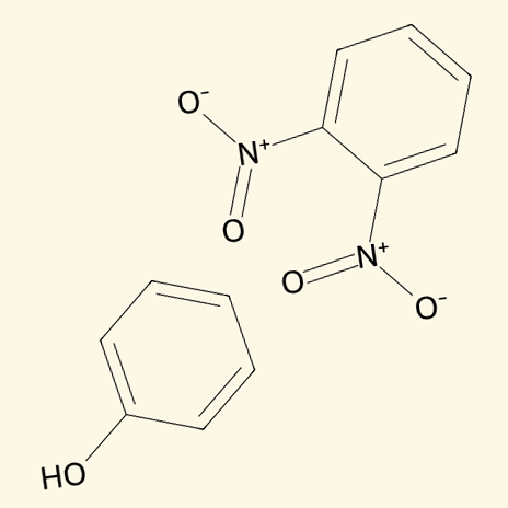 O=[N+]([O-])c1ccccc1[N+](=O)[O-].Oc1ccccc1